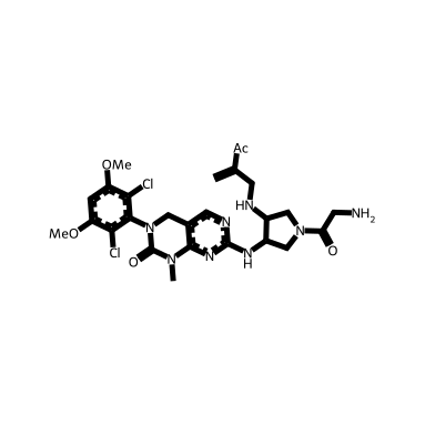 C=C(CNC1CN(C(=O)CN)CC1Nc1ncc2c(n1)N(C)C(=O)N(c1c(Cl)c(OC)cc(OC)c1Cl)C2)C(C)=O